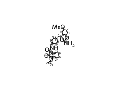 COc1cccc(C(CN2CCC(CNC(=O)n3c(=O)n(C4CC4)c4ccccc43)CC2)OC(N)=O)c1